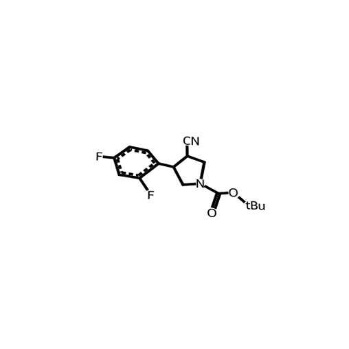 CC(C)(C)OC(=O)N1CC(C#N)C(c2ccc(F)cc2F)C1